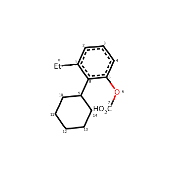 CCc1cccc(OC(=O)O)c1C1CCCCC1